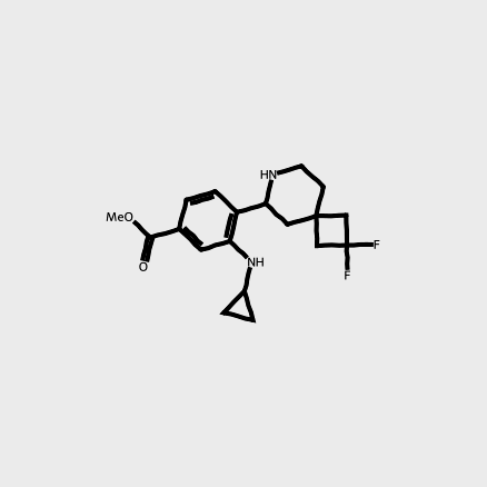 COC(=O)c1ccc(C2CC3(CCN2)CC(F)(F)C3)c(NC2CC2)c1